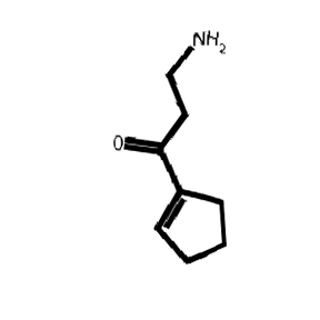 NCCC(=O)C1=CCCC1